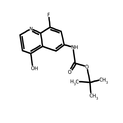 CC(C)(C)OC(=O)Nc1cc(F)c2nccc(O)c2c1